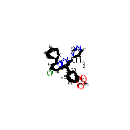 Cc1nn2c(-c3ccccc3)cc(Cl)cc2c1-c1ccc2c(c1)OCO2.c1cncnc1